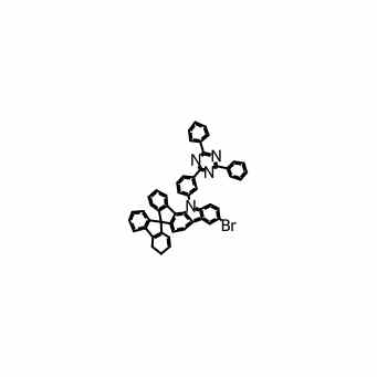 Brc1ccc2c(c1)c1ccc3c(c1n2-c1cccc(-c2nc(-c4ccccc4)nc(-c4ccccc4)n2)c1)-c1ccccc1C31C2=C(CCC=C2)c2ccccc21